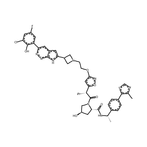 Cc1ncsc1-c1ccc([C@H](C)NC(=O)[C@@H]2C[C@@H](O)CN2C(=O)[C@@H](c2cc(OCCN3CC(c4cc5cc(-c6cc(F)cc(Cl)c6O)nnc5[nH]4)C3)no2)C(C)C)cc1